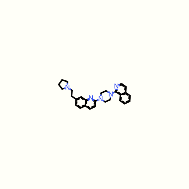 c1ccc2c(N3CCN(c4ccc5ccc(CCN6CCCC6)cc5n4)CC3)nccc2c1